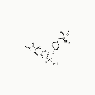 COC(=O)[C@@H](N)Cc1ccc(Oc2ccc(C=C3SC(=S)NC3=O)cc2C(F)(F)F)cc1.Cl